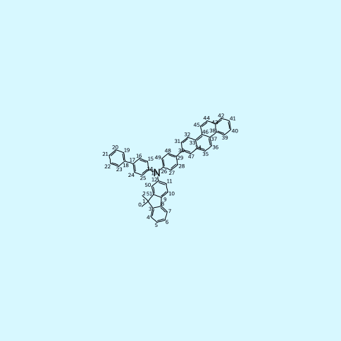 CC1(C)c2ccccc2-c2ccc(N(c3ccc(-c4ccccc4)cc3)c3ccc(-c4ccc5c(ccc6c7ccccc7ccc56)c4)cc3)cc21